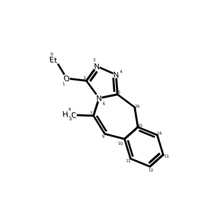 CCOc1nnc2n1C(C)=Cc1ccccc1C2